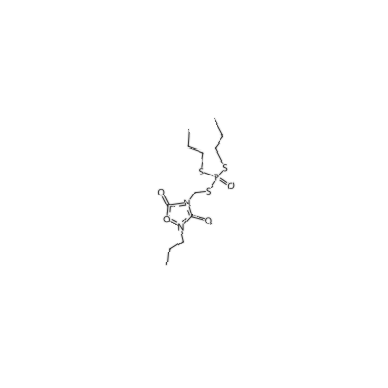 CCCSP(=O)(SCCC)SCn1c(=O)on(CCC)c1=O